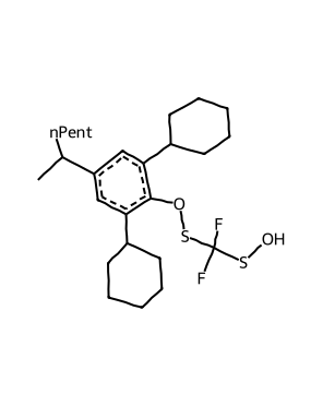 CCCCCC(C)c1cc(C2CCCCC2)c(OSC(F)(F)SO)c(C2CCCCC2)c1